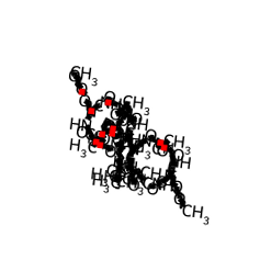 CCCOCCOCCN1CCNC(=O)Cn2c(C)cc(c(C)c2=O)C(=O)NCCN(CCN2CCNC(=O)c3cc(C)n(c(=O)c3OCc3ccccc3)CC(=O)NCCN(CCOCCOCCOC)CCNC(=O)Cn3c(C)cc(c(OCc4ccccc4)c3=O)C(=O)NC(CCCCNC(=O)OC(C)(C)C)C2)CCNC(=O)c2cc(C)n(c(=O)c2C)CC(=O)NCC1